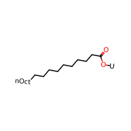 CCCCCCCCCCCCCCCCCC(=O)[O][U]